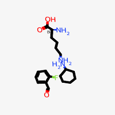 NC1CCCCC1.NCCCC[C@H](N)C(=O)O.O=Cc1ccccc1F